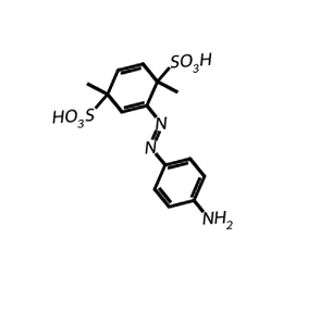 CC1(S(=O)(=O)O)C=CC(C)(S(=O)(=O)O)C(N=Nc2ccc(N)cc2)=C1